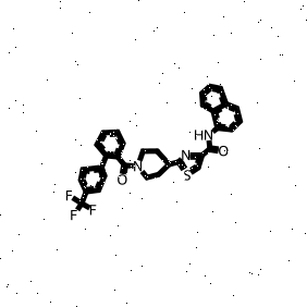 O=C(Nc1cccc2ccccc12)c1csc(C2CCN(C(=O)c3ccccc3-c3ccc(C(F)(F)F)cc3)CC2)n1